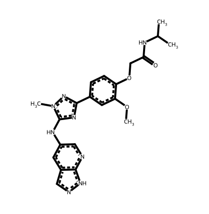 COc1cc(-c2nc(Nc3cnc4[nH]ncc4c3)n(C)n2)ccc1OCC(=O)NC(C)C